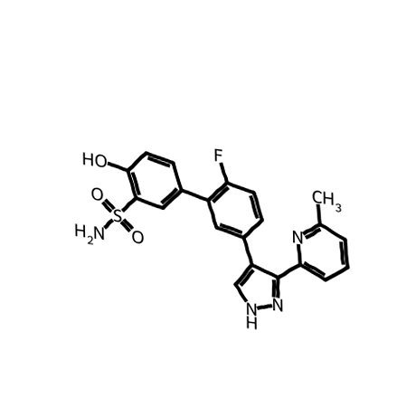 Cc1cccc(-c2n[nH]cc2-c2ccc(F)c(-c3ccc(O)c(S(N)(=O)=O)c3)c2)n1